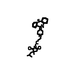 CC(C)CC1(C)CC(=O)N(CCCCN2CCN(C3=Nc4ccccc4Sc4ccccc43)CC2)C1=O